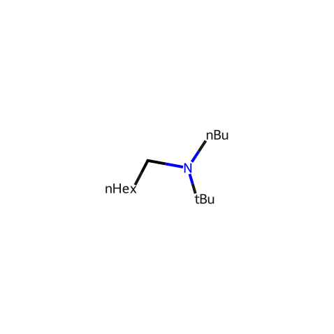 CCCCCCCN(CCCC)C(C)(C)C